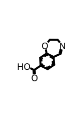 O=C(O)c1ccc2c(c1)OCCN=C2